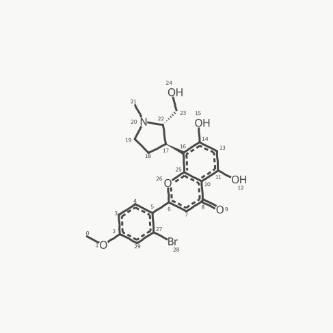 COc1ccc(-c2cc(=O)c3c(O)cc(O)c([C@H]4CCN(C)[C@@H]4CO)c3o2)c(Br)c1